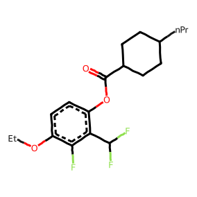 CCCC1CCC(C(=O)Oc2ccc(OCC)c(F)c2C(F)F)CC1